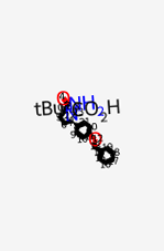 CC(C)(C)[C@]1(C(N)=O)CC[C@H](c2ccc(OCc3ccccc3)cc2)N1C(=O)O